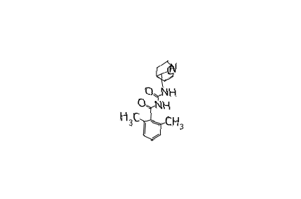 Cc1cccc(C)c1C(=O)NC(=O)NC1CN2CCC1CC2